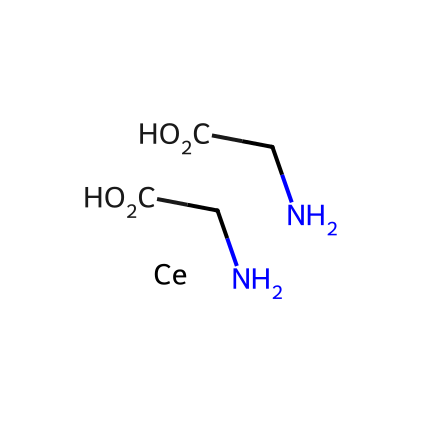 NCC(=O)O.NCC(=O)O.[Ce]